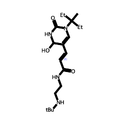 CCC(C)(CC)N1C=C(/C=C/C(=O)NCCNC(C)(C)C)C(O)NC1=O